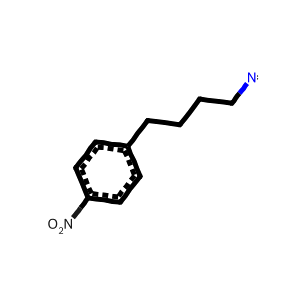 [N]CCCCc1ccc([N+](=O)[O-])cc1